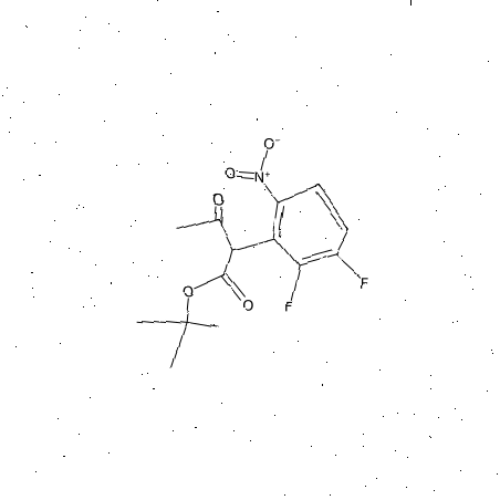 CC(=O)C(C(=O)OC(C)(C)C)c1c([N+](=O)[O-])ccc(F)c1F